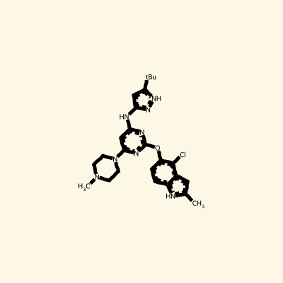 Cc1cc2c(Cl)c(Oc3nc(Nc4cc(C(C)(C)C)[nH]n4)cc(N4CCN(C)CC4)n3)ccc2[nH]1